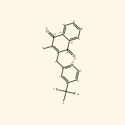 CC1=C(Cc2cc(C(F)(F)F)ccn2)C(=O)c2ccccc2C1=O